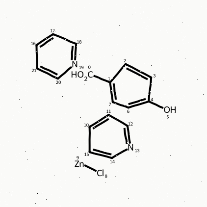 O=C(O)c1ccc(O)cc1.[Cl][Zn].c1ccncc1.c1ccncc1